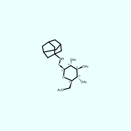 CC(=O)OC[C@H]1O[C@@H](SNC23CC4CC(CC(C4)C2)C3)[C@H](OC(C)=O)[C@@H](OC(C)=O)[C@@H]1OC(C)=O